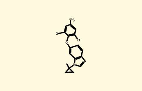 CC1(n2cnc3ccc(Oc4c(Cl)cc(N)cc4Cl)cc32)CC1